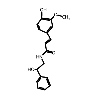 COc1cc(C=CC(=O)NCC(O)c2ccccc2)ccc1O